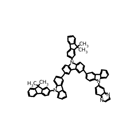 CC1(C)c2ccccc2-c2ccc(-n3c4ccccc4c4cc(-c5ccc6c(c5)c5cc(-c7ccc8c(c7)c7ccccc7n8-c7ccc8nccnc8c7)ccc5n6-c5ccc6c(c5)C(C)(C)c5ccccc5-6)ccc43)cc21